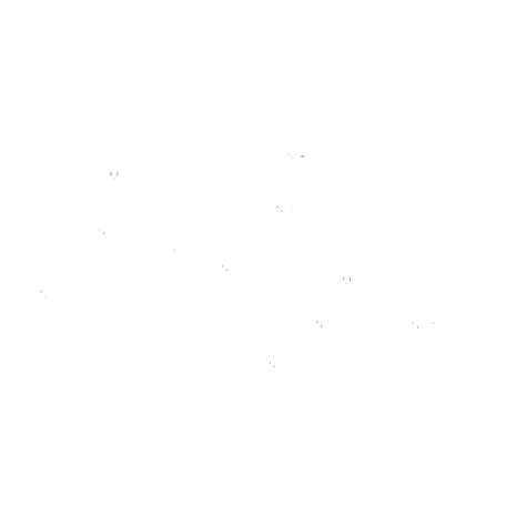 COc1cc(C(=O)c2ccccc2)ccc1C(=O)Nc1cccc2c1CCN(C)C2.COc1cc(NC(C)=O)c(Cl)cc1C(=O)Nc1cccc2c1CN(C)CC2.COc1ccc(C(=O)c2ccccc2)cc1C(=O)Nc1cccc2c1CCN(C)C2